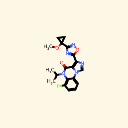 COC1(c2noc(-c3ncn4c3c(=O)n(C(C)C)c3c(F)cccc34)n2)CC1